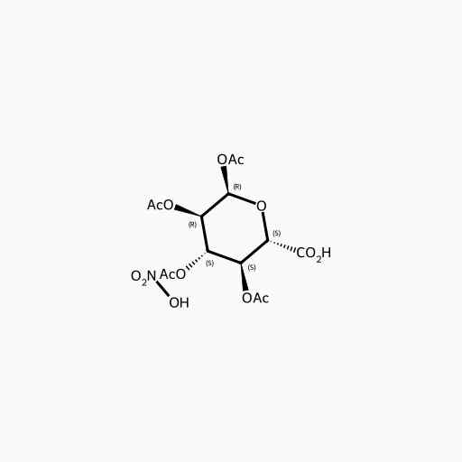 CC(=O)O[C@H]1O[C@H](C(=O)O)[C@@H](OC(C)=O)[C@H](OC(C)=O)[C@H]1OC(C)=O.O=[N+]([O-])O